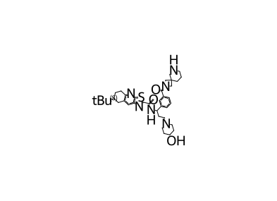 CC(C)(C)[C@H]1CCc2nc3sc(C(=O)NC(CCN4CCC(O)CC4)c4cccc(C(=O)N5CC6(CCCNC6)C5)c4)nc3cc2C1